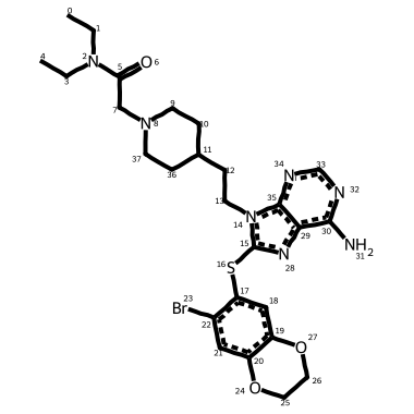 CCN(CC)C(=O)CN1CCC(CCn2c(Sc3cc4c(cc3Br)OCCO4)nc3c(N)ncnc32)CC1